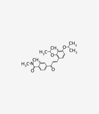 CC(C)Oc1ccc(/C=C/C(=O)c2ccc(C(=O)N(C)C)cc2)c(OC(C)C)c1